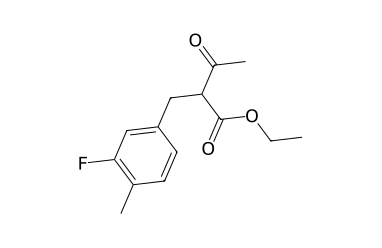 CCOC(=O)C(Cc1ccc(C)c(F)c1)C(C)=O